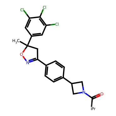 CC(C)C(=O)N1CC(c2ccc(C3=NOC(C)(c4cc(Cl)c(Cl)c(Cl)c4)C3)cc2)C1